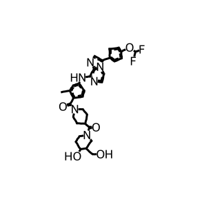 Cc1cc(Nc2nccn3c(-c4ccc(OC(F)F)cc4)cnc23)ccc1C(=O)N1CCC(C(=O)N2CCC(O)C(CO)C2)CC1